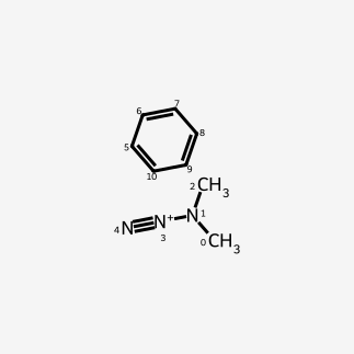 CN(C)[N+]#N.c1ccccc1